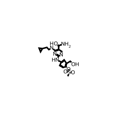 CS(=O)(=O)Oc1ccc(Nc2ncc(C(N)=O)c(NCCC3CC3)n2)cc1CO